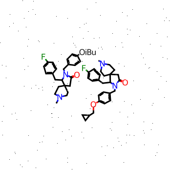 CC(C)COc1ccc(CN2C(=O)CC3(CCN(C)CC3)C2Cc2ccc(F)cc2)cc1.CN1CCC2(CC1)CC(=O)N(Cc1ccc(OCC3CC3)cc1)C2Cc1ccc(F)cc1